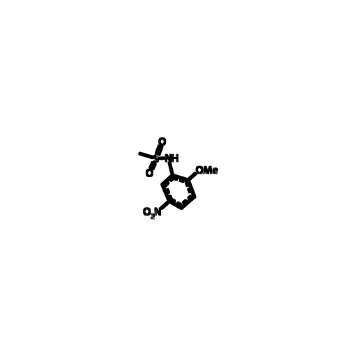 COc1ccc([N+](=O)[O-])cc1NS(C)(=O)=O